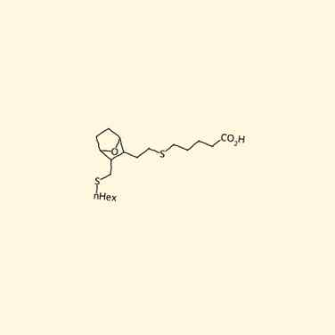 CCCCCCSCC1C2CCC(O2)C1CCSCCCCC(=O)O